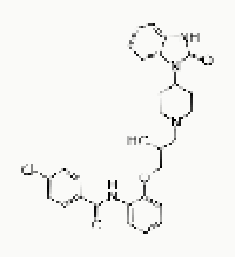 O=C(Nc1ccccc1OCC(O)CN1CCC(n2c(=O)[nH]c3ccccc32)CC1)c1ccc(Cl)cc1